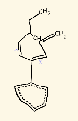 C=C/C=C(\C=C/C(C)CC)c1ccccc1